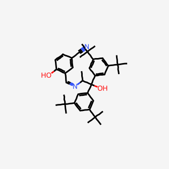 CC(N=Cc1cc(C#N)ccc1O)C(O)(c1cc(C(C)(C)C)cc(C(C)(C)C)c1)c1cc(C(C)(C)C)cc(C(C)(C)C)c1